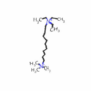 CC[N+](CC)(CC)CCCCCCCCCC[N+](C)(C)C